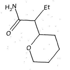 CCC(C(N)=O)C1CCCCO1